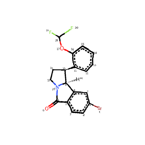 O=C1c2ccc(Br)cc2[C@@H]2[C@H](c3ccccc3OC(F)F)CCN12